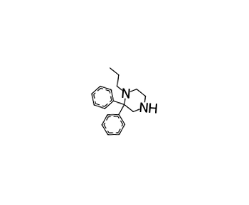 CCCN1CCNCC1(c1ccccc1)c1ccccc1